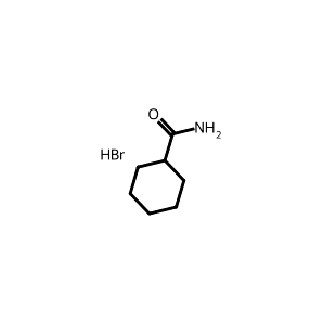 Br.NC(=O)C1CCCCC1